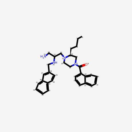 CCCC[C@H]1CN(C(=O)c2cccc3ccccc23)CCN1CC(CN)NCc1ccc2ccccc2c1